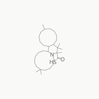 CC1CCCCC2C3CCCCCC(C)(C)CCCCN3C(C)(C(=O)S)C(C)(C)C2CCCC1